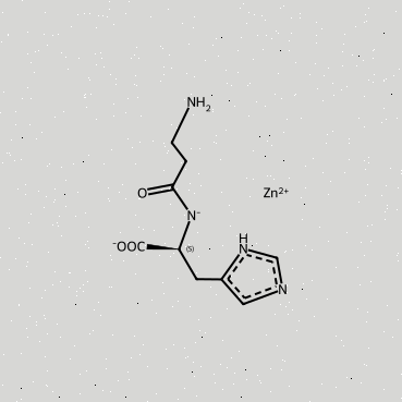 NCCC(=O)[N-][C@@H](Cc1cnc[nH]1)C(=O)[O-].[Zn+2]